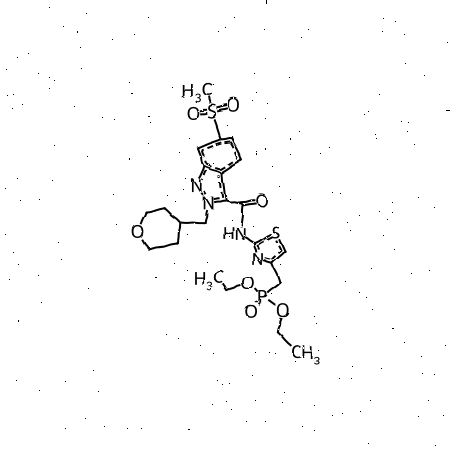 CCOP(=O)(Cc1csc(NC(=O)c2c3ccc(S(C)(=O)=O)cc3nn2CC2CCOCC2)n1)OCC